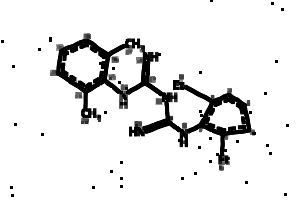 CCc1cccc(CC)c1NC(=N)NC(=N)Nc1c(C)cccc1C